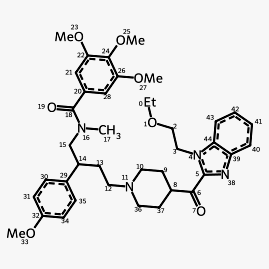 CCOCCn1c(C(=O)C2CCN(CCC(CN(C)C(=O)c3cc(OC)c(OC)c(OC)c3)c3ccc(OC)cc3)CC2)nc2ccccc21